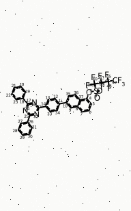 O=S(=O)(Oc1cccc2cc(-c3ccc(-c4nc(-c5ccccc5)nc(-c5ccccc5)n4)cc3)ccc12)C(F)(F)C(F)(F)C(F)(F)C(F)(F)F